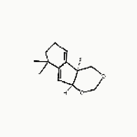 CC1(C)CCC=C2C1=C[C@@H]1OCOC[C@]21C